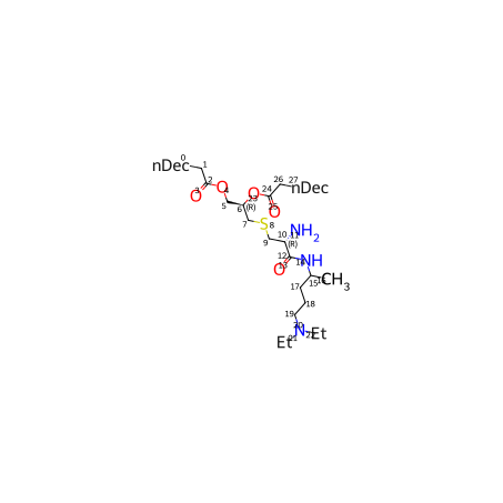 CCCCCCCCCCCC(=O)OC[C@H](CSC[C@H](N)C(=O)NC(C)CCCN(CC)CC)OC(=O)CCCCCCCCCCC